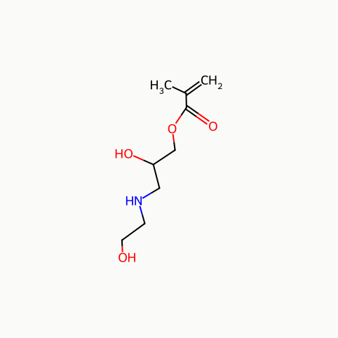 C=C(C)C(=O)OCC(O)CNCCO